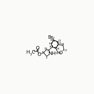 CC(=O)OC1CNC(c2cc(Br)cc3c2COCC3)C1